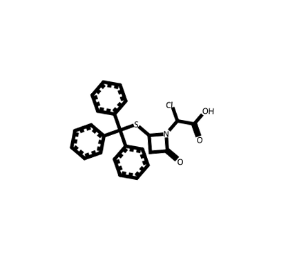 O=C(O)C(Cl)N1C(=O)CC1SC(c1ccccc1)(c1ccccc1)c1ccccc1